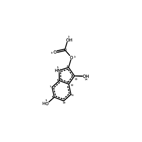 O=C(O)Oc1[nH]c2cc(O)ccc2c1O